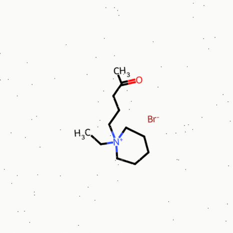 CC[N+]1(CCCC(C)=O)CCCCC1.[Br-]